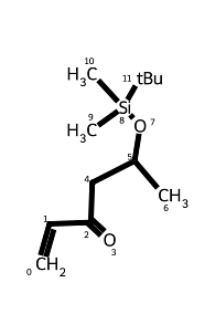 C=CC(=O)CC(C)O[Si](C)(C)C(C)(C)C